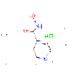 Cl.O=C(NO)C1=CCNCC1